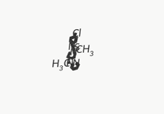 CS/C(=N\c1ccc(Cl)cc1)N1CCC(N(C)c2ccccn2)CC1